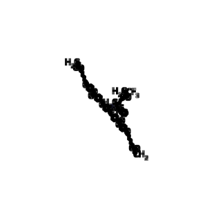 C=CC(=O)OCCCCCCOc1ccc(OC(=O)C2CCC(COc3ccc(OCC4CCC(C(=O)Oc5ccc(OCCCCCCOC(=O)C=C)cc5)CC4)c(/C=N/N(c4nc5ccccc5s4)C(C)CCCOC(=O)C(=C)C(F)(F)F)c3)CC2)cc1